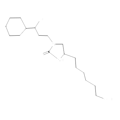 O=C(O)CCCCCCC1CN(CCC(O)C2CCCCC2)C(=O)N1